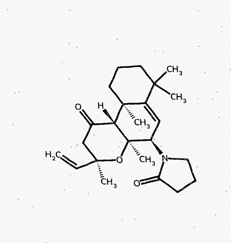 C=C[C@@]1(C)CC(=O)[C@H]2[C@](C)(O1)[C@H](N1CCCC1=O)C=C1C(C)(C)CCC[C@@]12C